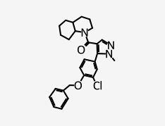 Cn1ncc(C(=O)N2CCCC3CCCCC32)c1-c1ccc(OCc2ccccc2)c(Cl)c1